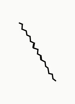 CCCCCCCC=CCCC=CCCCCCCC